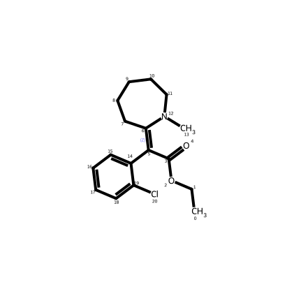 CCOC(=O)/C(=C1/CCCCCN1C)c1ccccc1Cl